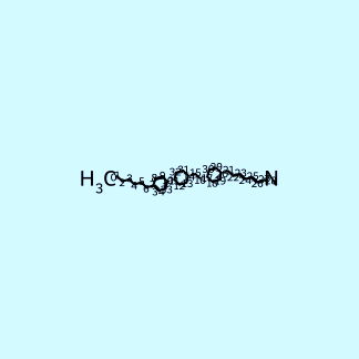 CCCCCCCc1ccc([C@H]2CC[C@H](CC[C@H]3CC[C@H](CCC=CC=CC#N)CC3)CC2)cc1